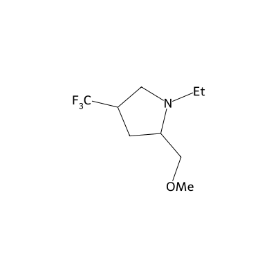 CCN1CC(C(F)(F)F)CC1COC